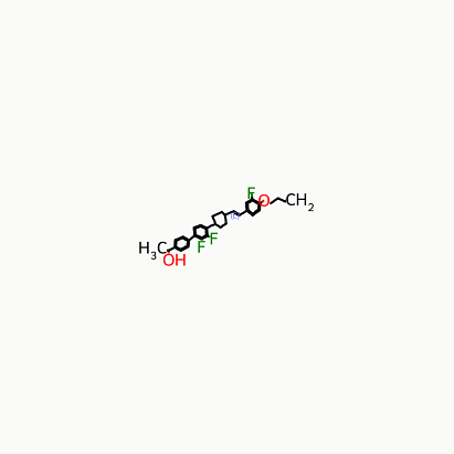 C=CCCOc1ccc(/C=C/C2CCC(c3ccc(-c4ccc(C(C)O)cc4)c(F)c3F)CC2)cc1F